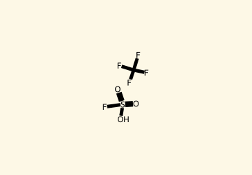 FC(F)(F)F.O=S(=O)(O)F